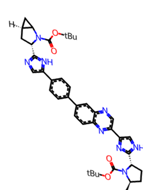 C[C@@H]1CC[C@@H](c2nc(-c3cnc4cc(-c5ccc(-c6cnc([C@@H]7C[C@H]8CC8N7C(=O)OC(C)(C)C)[nH]6)cc5)ccc4n3)c[nH]2)N1C(=O)OC(C)(C)C